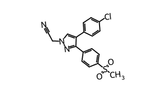 CS(=O)(=O)c1ccc(-c2nn(CC#N)cc2-c2ccc(Cl)cc2)cc1